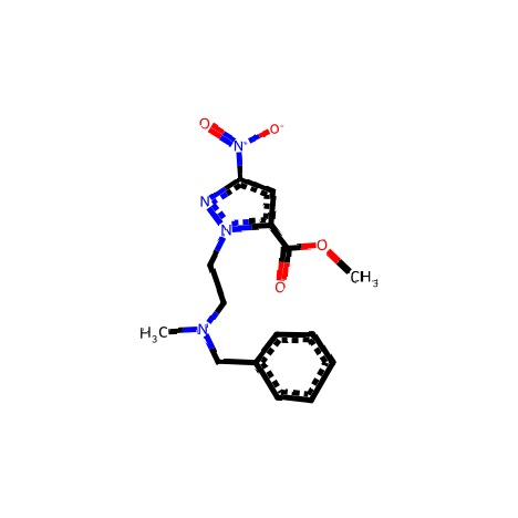 COC(=O)c1cc([N+](=O)[O-])nn1CCN(C)Cc1ccccc1